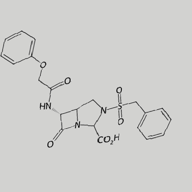 O=C(COc1ccccc1)N[C@H]1C(=O)N2C1CN(S(=O)(=O)Cc1ccccc1)C2C(=O)O